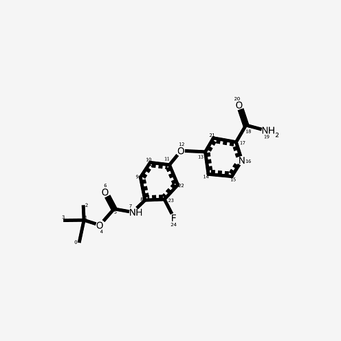 CC(C)(C)OC(=O)Nc1ccc(Oc2ccnc(C(N)=O)c2)cc1F